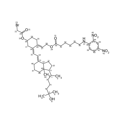 CC(CCCC(C)(C)O)C1CCC2/C(=C/C=C3/CC(OC(=O)CBr)CC/C3=C\COC(=O)CCCCCNc3ccc([N+](=O)[O-])cc3[N+](=O)[O-])CCCC21C